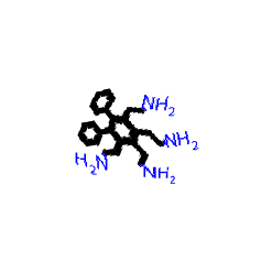 NCCc1c(CCN)c(CCN)c(-c2ccccc2)c(-c2ccccc2)c1CCN